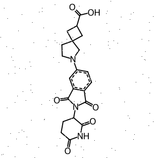 O=C1CCC(N2C(=O)c3ccc(N4CCC5(CC(C(=O)O)C5)C4)cc3C2=O)C(=O)N1